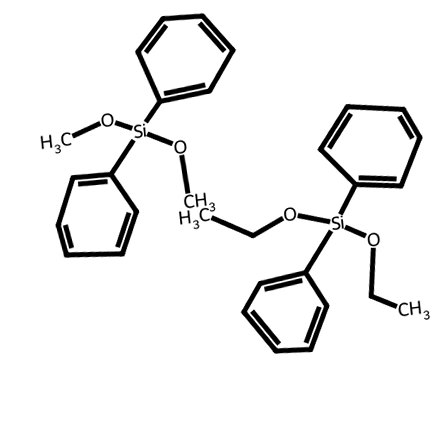 CCO[Si](OCC)(c1ccccc1)c1ccccc1.CO[Si](OC)(c1ccccc1)c1ccccc1